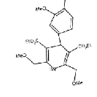 CCOC(=O)C1=C(COC)NC(COC)=C(C(=O)OCC)C1c1ccc(O)c(OC)c1